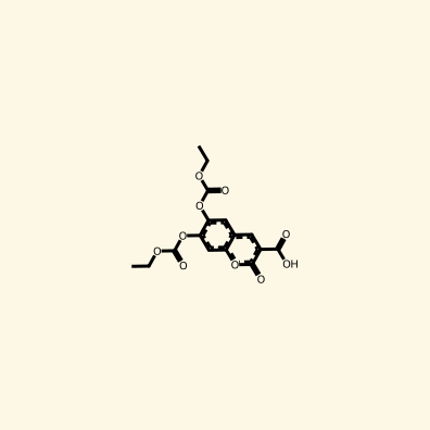 CCOC(=O)Oc1cc2cc(C(=O)O)c(=O)oc2cc1OC(=O)OCC